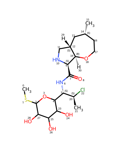 CSC1OC([C@H](NC(=O)[C@H]2NC[C@@H]3C[C@H](C)CCO[C@H]32)[C@H](C)Cl)C(O)C(O)C1O